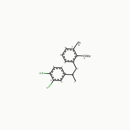 COc1c(CC(C)c2ccc(F)c(F)c2)cccc1C(C)C